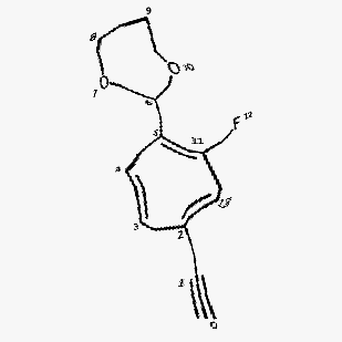 C#Cc1ccc(C2OCCO2)c(F)c1